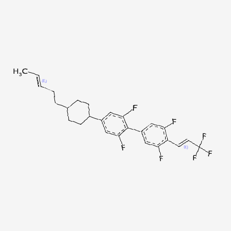 C/C=C/CCC1CCC(c2cc(F)c(-c3cc(F)c(/C=C/C(F)(F)F)c(F)c3)c(F)c2)CC1